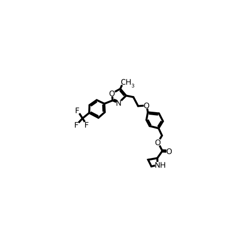 Cc1oc(-c2ccc(C(F)(F)F)cc2)nc1CCOc1ccc(COC(=O)C2CCN2)cc1